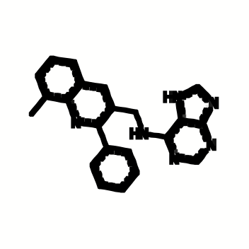 Cc1cccc2cc(CNc3ncnc4nc[nH]c34)c(-c3ccccc3)nc12